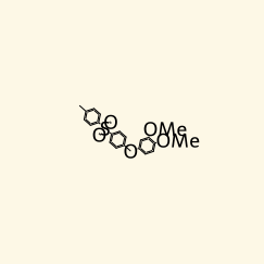 COc1ccc(Oc2ccc(S(=O)(=O)c3ccc(C)cc3)cc2)cc1OC